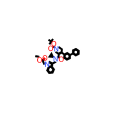 CCOC(=O)Cn1cc(CN(C(=O)C2=C(c3cccc(-c4ccccc4)c3)CCN(C(=O)OC(C)(C)C)C2)C2CC2)c2ccccc21